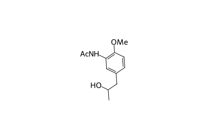 COc1ccc(CC(C)O)cc1NC(C)=O